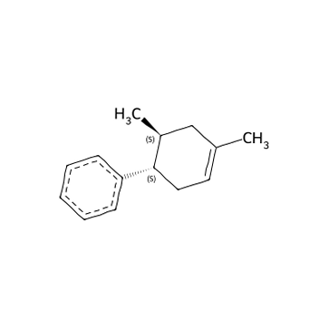 CC1=CC[C@H](c2ccccc2)[C@@H](C)C1